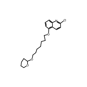 Clc1ccc2c(OCCCCCCCOC3CCCCO3)cccc2n1